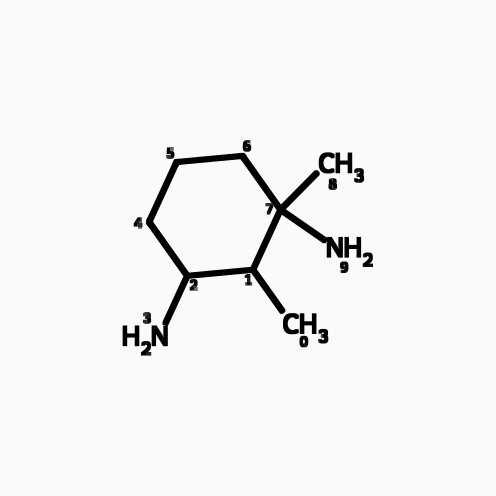 CC1C(N)CCCC1(C)N